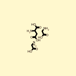 NC(CC(=O)O)C(=O)O.NCC(=O)O.NCC(=O)O